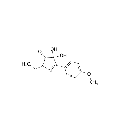 CCN1N=C(c2ccc(OC)cc2)C(O)(O)C1=O